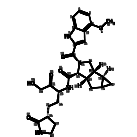 COc1cccc2[nH]c(C(=O)N3C[C@H]4[C@H](CC5C[C@@H]54)[C@H]3C(=O)N[C@@H](CC[C@@H]3CCNC3=O)C(=O)CO)cc12